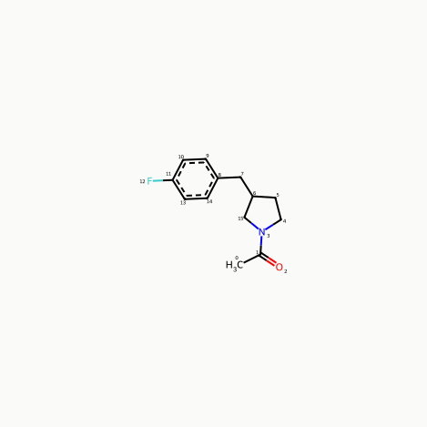 CC(=O)N1CCC(Cc2ccc(F)cc2)C1